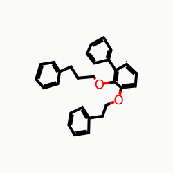 [c]1ccc(OCCc2ccccc2)c(OCCCc2ccccc2)c1-c1ccccc1